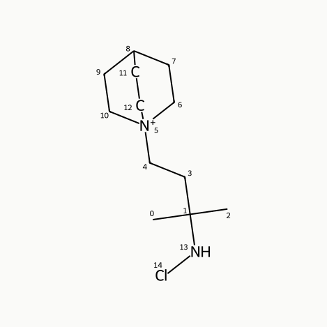 CC(C)(CC[N+]12CCC(CC1)CC2)NCl